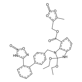 CCOC1(OCC)Nc2cccc(C(=O)OCc3oc(=O)oc3C)c2N1Cc1ccc(-c2ccccc2-c2noc(=O)[nH]2)cc1